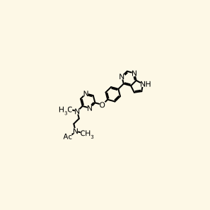 CC(=O)N(C)CCN(C)c1cncc(Oc2ccc(-c3ncnc4[nH]ccc34)cc2)n1